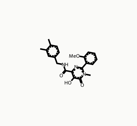 COc1ccccc1-c1nc(C(=O)NCc2ccc(C)c(C)c2)c(O)c(=O)n1C